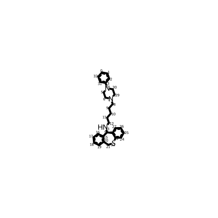 c1ccc(N2CCN(CCCCCNC3c4ccccc4CSc4ccccc43)CC2)cc1